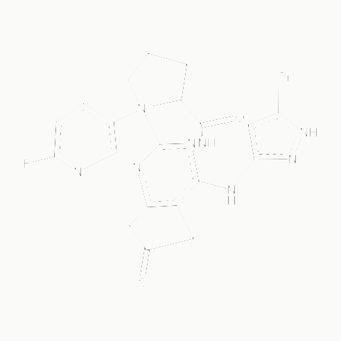 CC(C)c1cc(Nc2nc([N+]3(c4ccc(F)nc4)CCCC3C(N)=O)nc3c2CC(=S)C3)n[nH]1